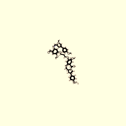 COc1ccc(C2=CN(C)C(/C=N\c3cc(OCCCOc4cc5c(cc4OC)C(=O)N4C=C(c6ccc(N)cc6)CC4C=N5)c(OC)cc3C=O)C2)cc1